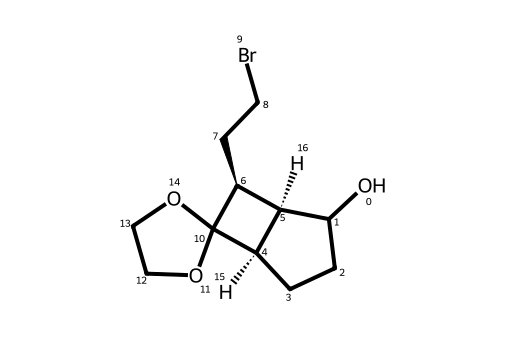 OC1CC[C@@H]2[C@H]1[C@H](CCBr)C21OCCO1